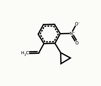 C=[C]c1cccc([N+](=O)[O-])c1C1CC1